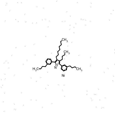 CCCCCCCCC1=C(c2cccc(CCCC)c2)[N+](=[N-])C(c2cccc(CCCC)c2)=C1CCCC.[Ni]